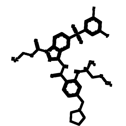 CCOC(=O)n1nc(NC(=O)c2ccc(CN3CCCC3)cc2N[C@@H](C)COC)c2cc(S(=O)(=O)c3cc(F)cc(F)c3)ccc21